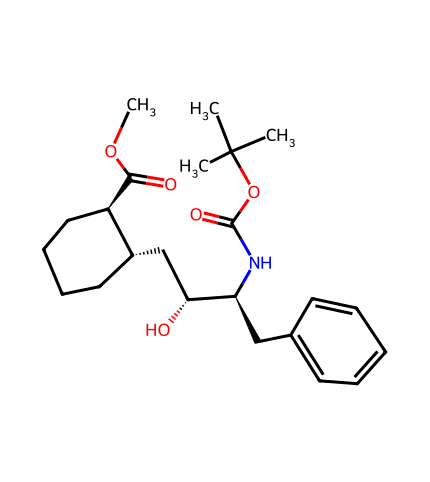 COC(=O)[C@@H]1CCCC[C@H]1C[C@@H](O)[C@H](Cc1ccccc1)NC(=O)OC(C)(C)C